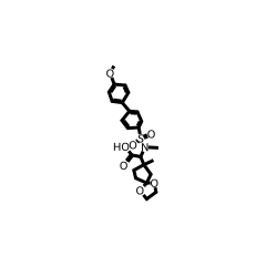 COc1ccc(-c2ccc(S(=O)(=O)N(C)C(C(=O)O)C3(C)CCC4(C3)OCCO4)cc2)cc1